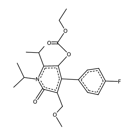 CCOC(=O)Oc1c(-c2ccc(F)cc2)c(COC)c(=O)n(C(C)C)c1C(C)C